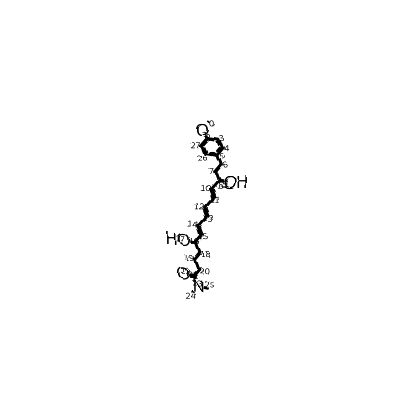 COc1ccc(CCC(O)C=CC=CC=CC(O)CCCC(=O)N(C)C)cc1